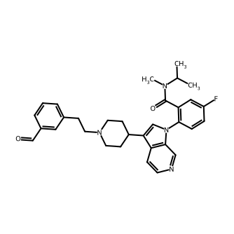 CC(C)N(C)C(=O)c1cc(F)ccc1-n1cc(C2CCN(CCc3cccc(C=O)c3)CC2)c2ccncc21